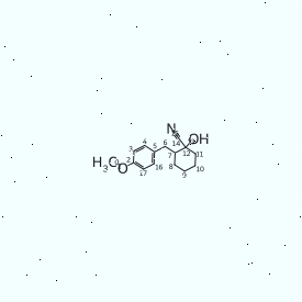 COc1ccc(CC2CCCCC2(O)C#N)cc1